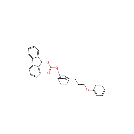 O=C(OC1c2ccccc2-c2ccccc21)OC1CC2(CCCOc3ccccc3)CCC1CC2